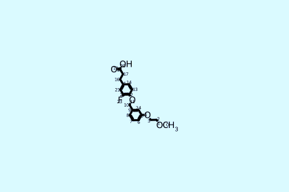 COCCOc1cccc(COc2ccc(CCC(=O)O)cc2F)c1